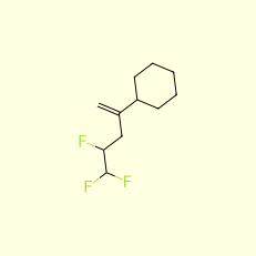 C=C(CC(F)C(F)F)C1CCCCC1